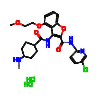 CNC1CCC(C(=O)Nc2c(C(=O)Nc3ccc(Cl)cn3)oc3cccc(OCCOC)c23)CC1.Cl.Cl